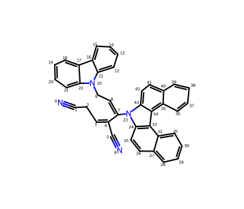 N#CC/C=C(C#N)\C(=C/Cn1c2ccccc2c2ccccc21)n1c2ccc3ccccc3c2c2c3ccccc3ccc21